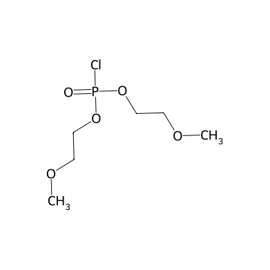 COCCOP(=O)(Cl)OCCOC